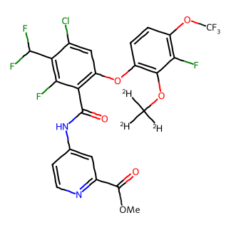 [2H]C([2H])([2H])Oc1c(Oc2cc(Cl)c(C(F)F)c(F)c2C(=O)Nc2ccnc(C(=O)OC)c2)ccc(OC(F)(F)F)c1F